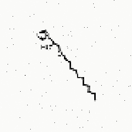 CCCCCCCCCCCCOCC(O)Cn1ccnc1